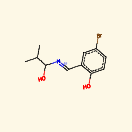 CC(C)C(O)/N=C/c1cc(Br)ccc1O